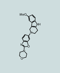 COc1ccc2[nH]c3c(c2c1)CN(c1ccc2nc(N4CCOCC4)oc2c1)CC3